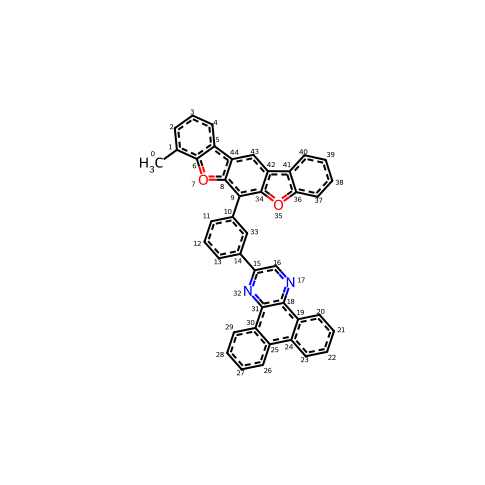 Cc1cccc2c1oc1c(-c3cccc(-c4cnc5c6ccccc6c6ccccc6c5n4)c3)c3oc4ccccc4c3cc12